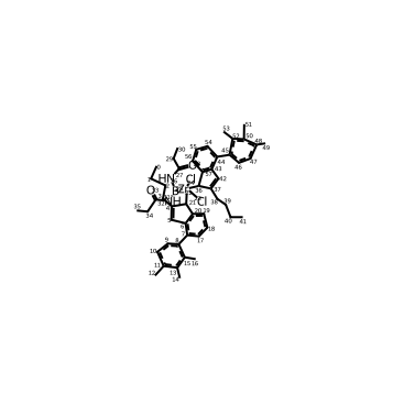 CCCCC1=Cc2c(-c3ccc(C)c(C)c3C)cccc2[CH]1[Zr]([Cl])([Cl])([B](NC(=O)CC)NC(=O)CC)[CH]1C(CCCC)=Cc2c(-c3ccc(C)c(C)c3C)cccc21